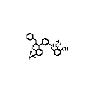 Cc1cccc(CNc2cccc(-c3c(Cc4ccccc4)cnc4c(C(F)(F)F)cccc34)c2)c1C